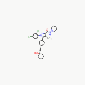 Cc1c(C(=O)NN2CCCCC2)nn(-c2ccc(Cl)cc2Cl)c1-c1ccc(C#CC2(O)CCCCC2)cc1